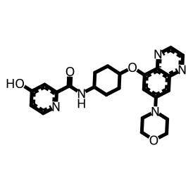 O=C(NC1CCC(Oc2cc(N3CCOCC3)cc3nccnc23)CC1)c1cc(O)ccn1